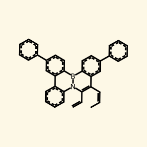 C=CC1=C(/C=C\C)c2cc(-c3ccccc3)ccc2B2c3ccc(-c4ccccc4)cc3-c3ccccc3N21